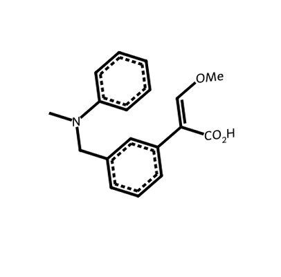 COC=C(C(=O)O)c1cccc(CN(C)c2ccccc2)c1